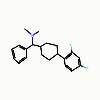 CN(C)C(c1ccccc1)C1[CH]CC(c2ccc(F)cc2F)CC1